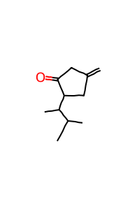 C=C1CC(=O)C(C(C)C(C)C)C1